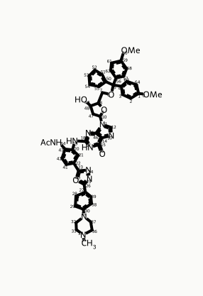 COc1ccc(C(OCC2OC(n3cnc4c(=O)[nH]c(Nc5cc(-c6nnc(-c7ccc(N8CCN(C)CC8)cc7)o6)ccc5NC(C)=O)nc43)CC2O)(c2ccccc2)c2ccc(OC)cc2)cc1